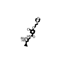 CN/C(=C\C(=N)C1CC1)CNC(=O)c1ccc(OCCCN2CCOCC2)c(Cl)c1